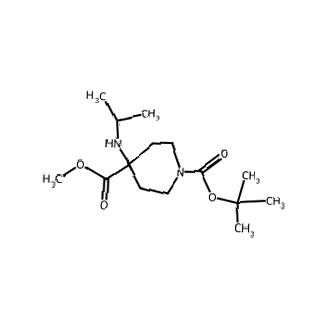 COC(=O)C1(NC(C)C)CCN(C(=O)OC(C)(C)C)CC1